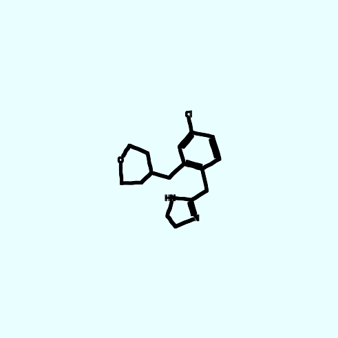 Clc1ccc(CC2=NCCN2)c(CC2CCOCC2)c1